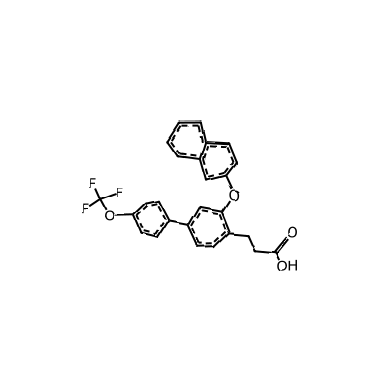 O=C(O)CCc1ccc(-c2ccc(OC(F)(F)F)cc2)cc1Oc1ccc2ccccc2c1